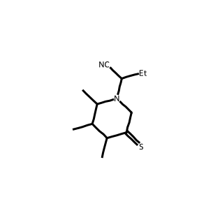 CCC(C#N)N1CC(=S)C(C)C(C)C1C